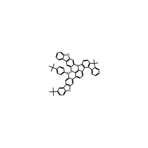 CC(C)(C)c1ccc(N2B3c4cc5c(cc4-n4c6ccc7c(c6c6ccc(c3c64)-c3cc4sc6ccc(C(C)(C)C)cc6c4cc32)-c2ccccc2C7(C)C)oc2ccccc25)cc1